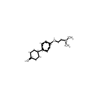 CN(C)CCOc1ccc(C2CCC(=O)CC2)cc1